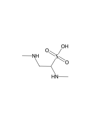 CNCC(NC)S(=O)(=O)O